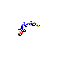 C#Cc1cnc(N[C@@H]2CCCN(CC(=O)Nc3ccc([As]4SCCS4)cc3)C2)nc1-c1cn(S(=O)(=O)c2ccccc2)c2ccccc12